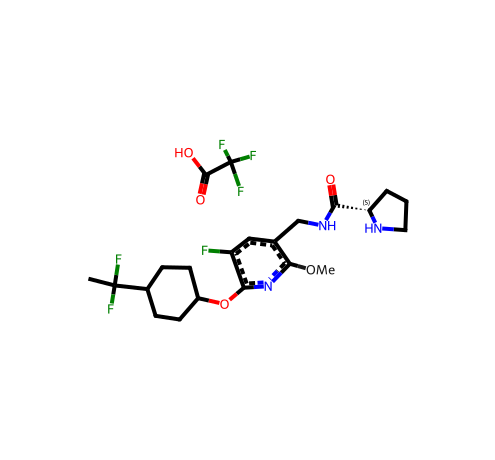 COc1nc(OC2CCC(C(C)(F)F)CC2)c(F)cc1CNC(=O)[C@@H]1CCCN1.O=C(O)C(F)(F)F